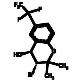 CC1(C)Oc2ccc(C(F)(F)C(F)(F)F)cc2[C@H](O)[C@H]1Br